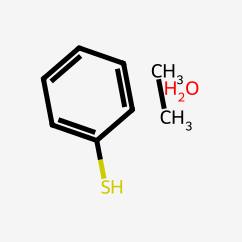 CC.O.Sc1ccccc1